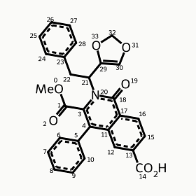 COC(=O)c1c(-c2ccccc2)c2cc(C(=O)O)ccc2c(=O)n1C(Cc1ccccc1)C1=COCO1